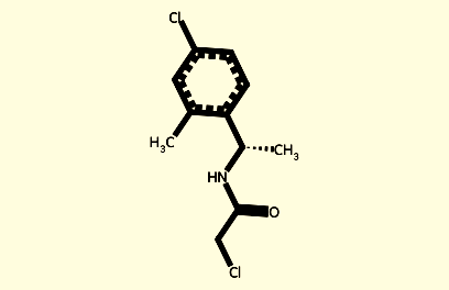 Cc1cc(Cl)ccc1[C@H](C)NC(=O)CCl